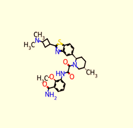 COc1c(NC(=O)C(=O)N2C[C@@H](C)CC[C@@H]2c2ccc3sc(C4CC(N(C)C)C4)nc3c2)cccc1C(N)=O